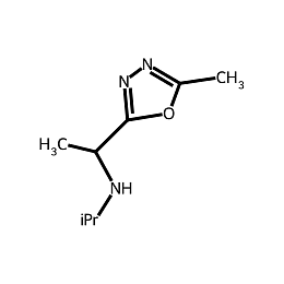 Cc1nnc(C(C)NC(C)C)o1